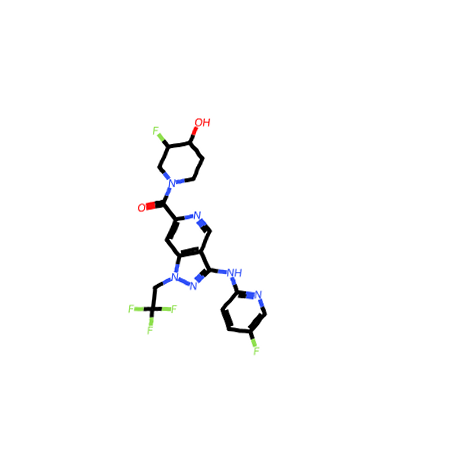 O=C(c1cc2c(cn1)c(Nc1ccc(F)cn1)nn2CC(F)(F)F)N1CCC(O)C(F)C1